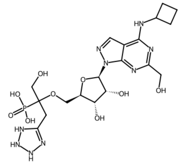 O=P(O)(O)C(CO)(CC1=NNNN1)OC[C@H]1O[C@@H](n2ncc3c(NC4CCC4)nc(CO)nc32)[C@H](O)[C@@H]1O